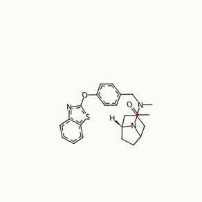 CC(=O)N1C2CC[C@@H]1CC(N(C)Cc1ccc(Oc3nc4ccccc4s3)cc1)C2